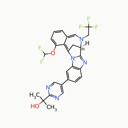 CC(C)(O)c1ncc(-c2ccc3nc4n(c3c2)C2=c3c(OC(F)F)cccc3=CN(CC(F)(F)F)[C@@H]4C2)cn1